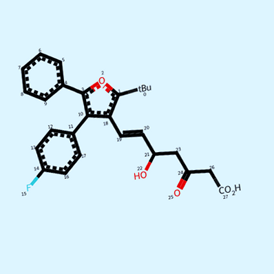 CC(C)(C)c1oc(-c2ccccc2)c(-c2ccc(F)cc2)c1C=CC(O)CC(=O)CC(=O)O